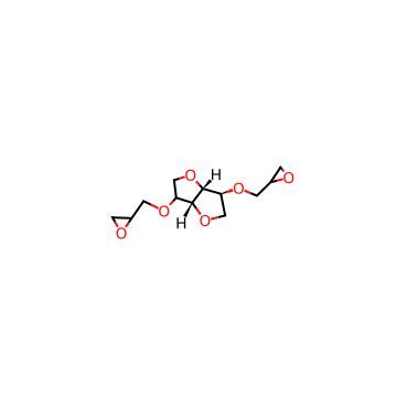 C1OC1COC1CO[C@@H]2[C@@H](OCC3CO3)CO[C@H]12